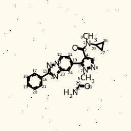 CN(C(=O)c1cnn(C)c1-c1ccn2nc(-c3ccccc3)nc2c1)C1CC1.NC=O